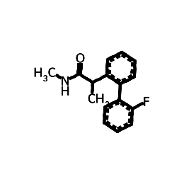 CNC(=O)C(C)c1ccccc1-c1ccccc1F